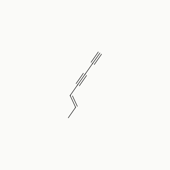 C#CC#CC=CC